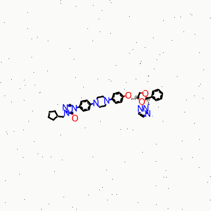 O=c1n(-c2ccc(N3CCN(c4ccc(OC[C@@H]5CO[C@@](Cn6nccn6)(c6ccccc6)O5)cc4)CC3)cc2)cnn1CC1CCCC1